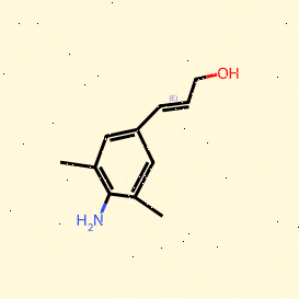 Cc1cc(/C=C/CO)cc(C)c1N